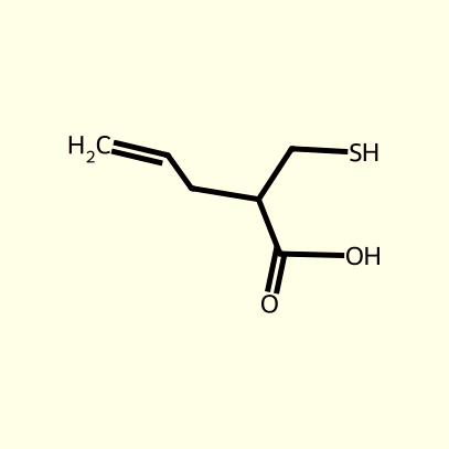 C=CCC(CS)C(=O)O